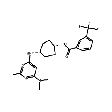 Cc1nc(N[C@H]2CC[C@@H](NC(=O)c3cccc(C(F)(F)F)c3)CC2)cc(N(C)C)n1